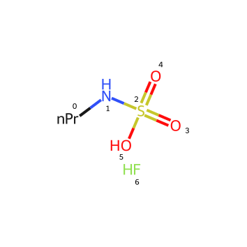 CCCNS(=O)(=O)O.F